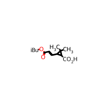 CCC(C)OC(=O)/C=C/C1C(C(=O)O)C1(C)C